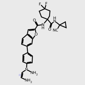 N#CC1(NC(=O)C2(NC(=O)c3cc4ccc(-c5ccc(N(N)/C=C\N)cc5)cc4o3)CCC(F)(F)CC2)CC1